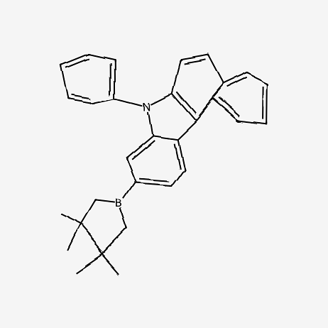 CC1(C)CB(c2ccc3c4c5ccccc5ccc4n(-c4ccccc4)c3c2)CC1(C)C